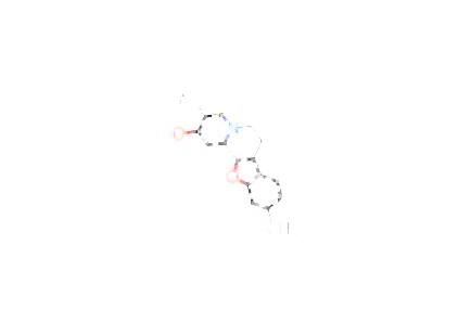 CC(=O)c1cn2c(cc1=O)-c1oc3cc(C)ccc3c1CC2